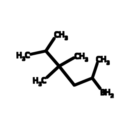 BC(C)CC(C)(C)C(C)C